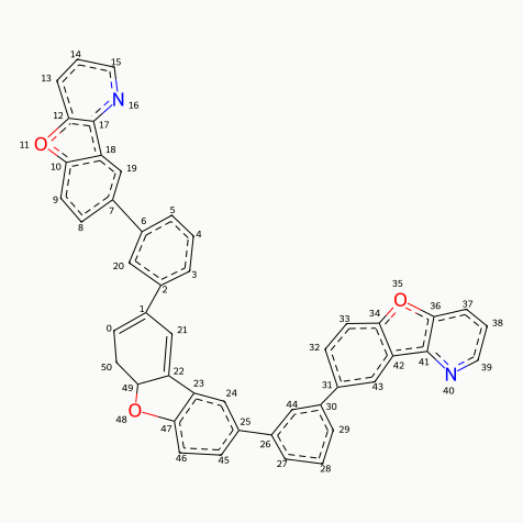 C1=C(c2cccc(-c3ccc4oc5cccnc5c4c3)c2)C=C2c3cc(-c4cccc(-c5ccc6oc7cccnc7c6c5)c4)ccc3OC2C1